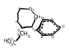 C1CCOOC1.CC(=O)O.c1ccccc1